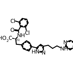 O=C(N[C@@H](Cc1ccc(-c2cc(CCCNc3ccccn3)n[nH]2)cc1)C(=O)O)c1c(Cl)cccc1Cl